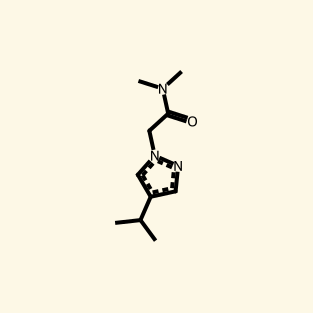 CC(C)c1cnn(CC(=O)N(C)C)c1